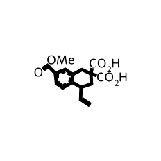 C=CC1CC(C(=O)O)(C(=O)O)Cc2cc(C(=O)OC)ccc21